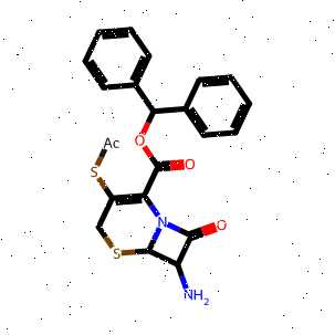 CC(=O)SC1=C(C(=O)OC(c2ccccc2)c2ccccc2)N2C(=O)C(N)C2SC1